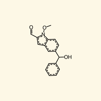 COn1c(C=O)cc2cc(C(O)c3ccccc3)ccc21